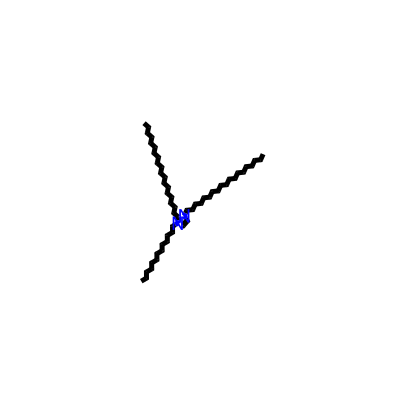 CCCCCCCCCCCCCCCCCCCC1N(CCCCCCCCCCCCC)C=CN1CCCCCCCCCCCCCCCCCCC